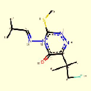 CSc1nnc(C(C)(C)CF)c(=O)n1N=CC(C)C